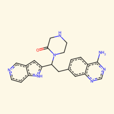 Nc1ncnc2cc(CC(c3cc4cnccc4[nH]3)N3CCNCC3=O)ccc12